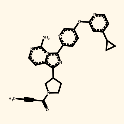 CC#CC(=O)N1CCC(c2nc(-c3ccc(Oc4cc(C5CC5)ccn4)cn3)n3c(N)nccc23)C1